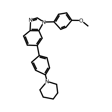 COc1ccc(-n2cnc3ccc(-c4ccc(N5CCCCC5)cc4)cc32)cc1